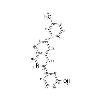 Oc1cccc(-c2cnc3cnc(-c4cccc(O)c4)nc3c2)c1